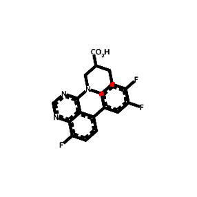 O=C(O)C1CCCN(c2ncnc3c(F)ccc(-c4ccc(F)c(F)c4)c23)C1